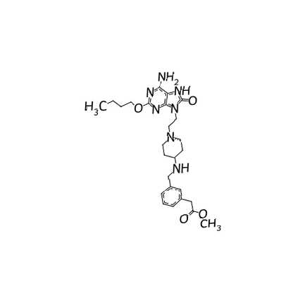 CCCCOc1nc(N)c2[nH]c(=O)n(CCN3CCC(NCc4cccc(CC(=O)OC)c4)CC3)c2n1